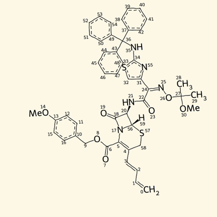 C=C/C=C/C1=C(C(=O)OCc2ccc(OC)cc2)N2C(=O)[C@@H](NC(=O)/C(=N\OC(C)(C)OC)c3csc(NC(c4ccccc4)(c4ccccc4)c4ccccc4)n3)[C@@H]2SC1